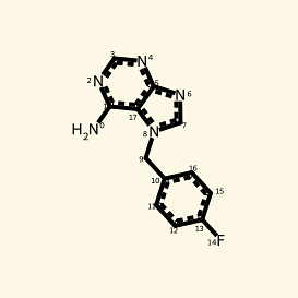 Nc1ncnc2ncn(Cc3ccc(F)cc3)c12